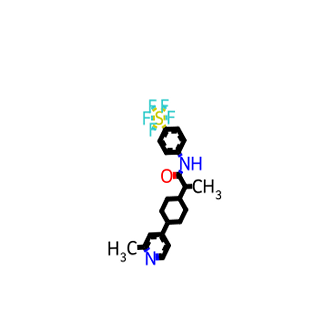 Cc1cc(C2CCC(C(C)C(=O)Nc3ccc(S(F)(F)(F)(F)F)cc3)CC2)ccn1